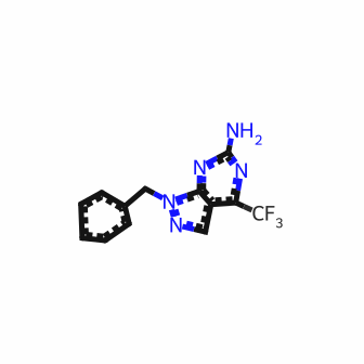 Nc1nc(C(F)(F)F)c2cnn(Cc3ccccc3)c2n1